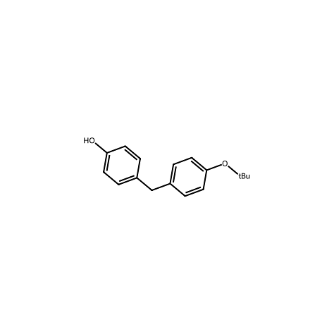 CC(C)(C)Oc1ccc(Cc2ccc(O)cc2)cc1